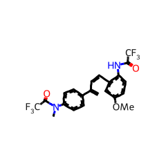 C=C(/C=C\c1cc(OC)ccc1NC(=O)C(F)(F)F)c1ccc(N(C)C(=O)C(F)(F)F)cc1